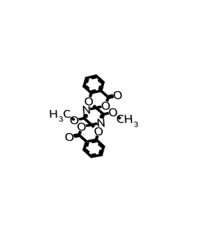 COC1=NC2(OC(=O)c3ccccc3O2)C(OC)=NC12OC(=O)c1ccccc1O2